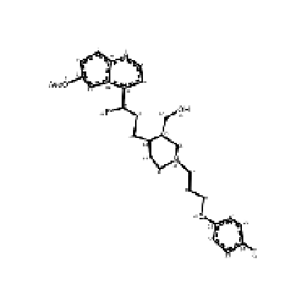 COc1ccc2nccc(C(F)CC[C@@H]3CCN(CCCSc4ccc(F)cc4)C[C@@H]3CO)c2c1